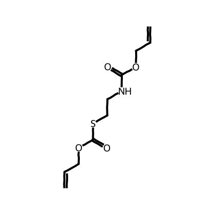 C=CCOC(=O)NCCSC(=O)OCC=C